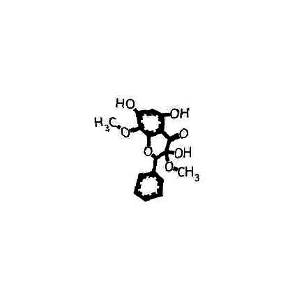 COc1c(O)cc(O)c2c1OC(c1ccccc1)C(O)(OC)C2=O